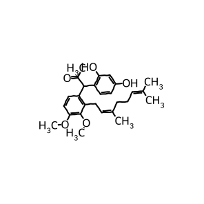 COc1ccc(C(C(C)=O)c2ccc(O)cc2O)c(CC=C(C)CCC=C(C)C)c1OC